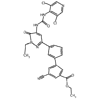 CCOC(=O)c1cc(C#N)cc(-c2cccc(-c3cc(NC(=O)Nc4c(Cl)cncc4Cl)c(=O)n(CC)n3)c2)c1